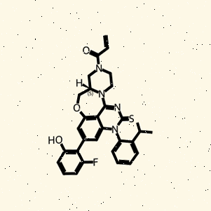 C=CC(=O)N1CCN2c3nc(=S)n(-c4ccccc4C(C)C)c4cc(-c5c(O)cccc5F)cc(c34)OC[C@@H]2C1